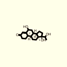 CC(O)[C@@]1(O)CC[C@H]2[C@@H]3CC(O)C4=CC(=O)CC[C@]4(C)[C@H]3CC[C@@]21C